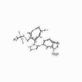 CCOC(=O)c1cnn2ccc(N3CCCC3c3cc(F)cnc3CCC(C)(C)N)nc12